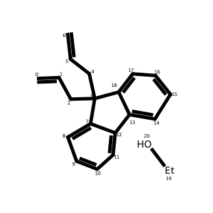 C=CCC1(CC=C)c2ccccc2-c2ccccc21.CCO